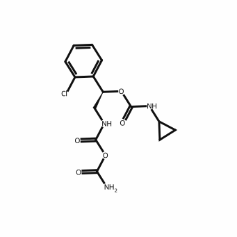 NC(=O)OC(=O)NC[C@H](OC(=O)NC1CC1)c1ccccc1Cl